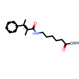 COC(=O)CCCCCNC(=O)/C(C)=C(\C)c1ccccc1